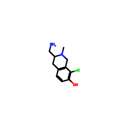 CN1Cc2c(ccc(O)c2Cl)CC1CN